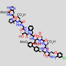 CCc1cc(OC)ccc1-c1ccc(C[C@H](NC(=O)[C@H](CC(=O)O)NC(=O)[C@H](CO)NC(=O)[C@@H](NC(=O)[C@](C)(Cc2ccccc2F)NC(=O)[C@@H](NC(=O)CNC(=O)[C@H](CCC(=O)O)NC(=O)[C@]2(C)CCCN2C(=O)[C@H](Cc2c[nH]cn2)NC(=O)OC)[C@@H](C)O)[C@@H](C)O)C(=O)N[C@@H](CCOc2ccc(Cl)cc2C)C(N)=O)cc1